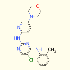 Cc1ccccc1Nc1nc(Nc2ccc(N3CCOCC3)cn2)ncc1Cl